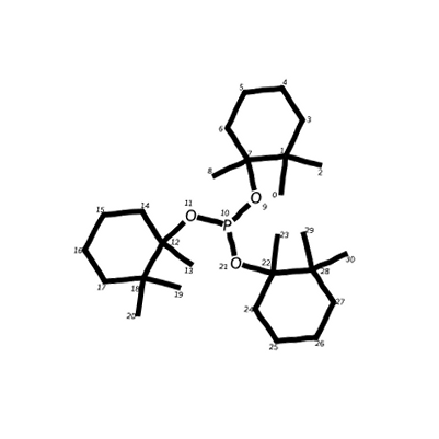 CC1(C)CCCCC1(C)OP(OC1(C)CCCCC1(C)C)OC1(C)CCCCC1(C)C